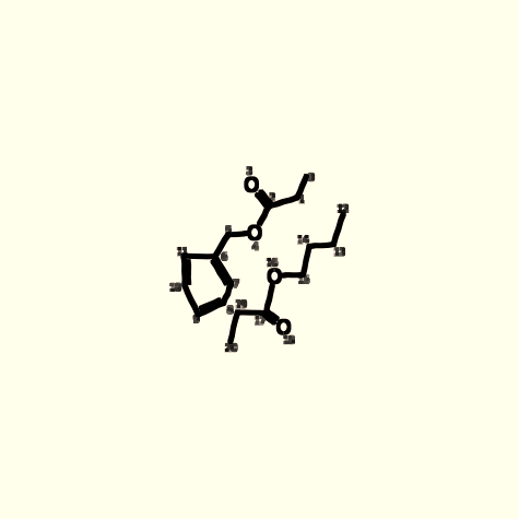 CCC(=O)OCc1ccccc1.CCCCOC(=O)CC